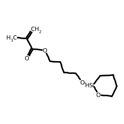 C=C(C)C(=O)OCCCCO[SiH]1CCCCO1